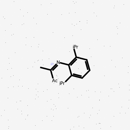 CC(=O)/C(C)=N\c1c(C(C)C)cccc1C(C)C